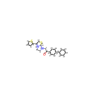 O=C(CN1CC[n+]2c(-c3cccs3)csc21)c1ccc(-c2ccccc2)cc1